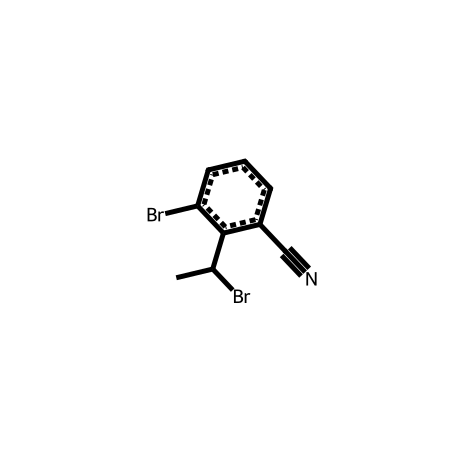 CC(Br)c1c(Br)cccc1C#N